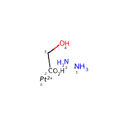 N.N.O=C(O)CO.[Pt+2]